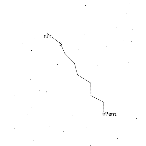 [CH2]CCSCCCCCCCCCCC